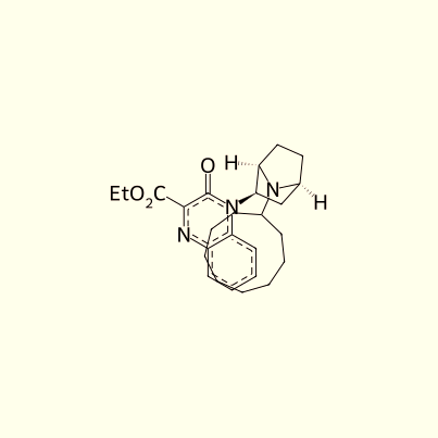 CCOC(=O)c1nc2ccccc2n([C@@H]2C[C@@H]3CC[C@H]2N3C2CCCCCCCC2)c1=O